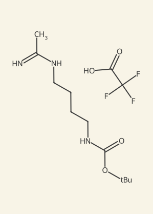 CC(=N)NCCCCNC(=O)OC(C)(C)C.O=C(O)C(F)(F)F